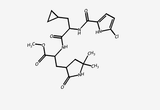 COC(=O)C(CC1CC(C)(C)NC1=O)NC(=O)C(CC1CC1)NC(=O)c1ccc(Cl)[nH]1